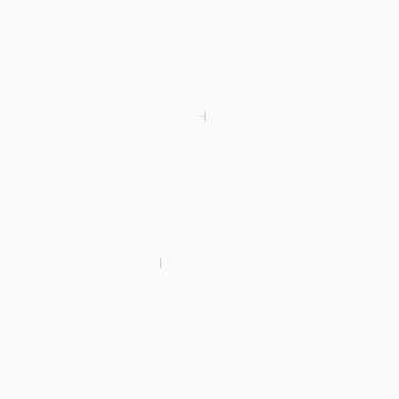 Cc1ccc(C[SiH]2CCCCO2)c(Cl)c1C